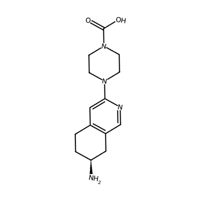 N[C@H]1CCc2cc(N3CCN(C(=O)O)CC3)ncc2C1